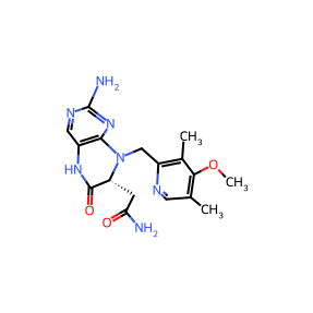 COc1c(C)cnc(CN2c3nc(N)ncc3NC(=O)[C@H]2CC(N)=O)c1C